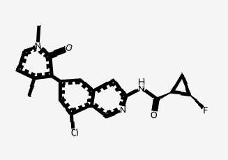 Cc1ccn(C)c(=O)c1-c1cc(Cl)c2cnc(NC(=O)[C@H]3C[C@H]3F)cc2c1